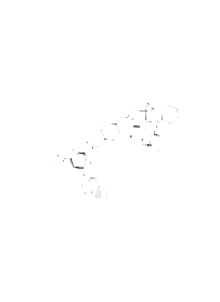 CC(C)(C)OC(=O)N(CC1CCC(CNc2nc(N)cc(N3CCNCC3)n2)CC1)CC1(CN(C(=O)OC(C)(C)C)C2CCCCC2)CC1